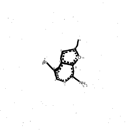 Cc1cc2c(Br)cnc(N)c2o1